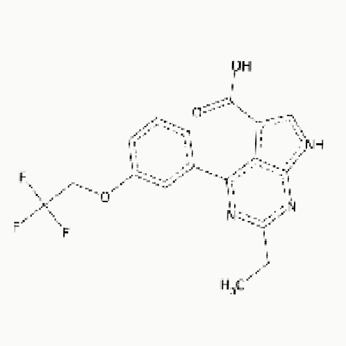 CCc1nc(-c2cccc(OCC(F)(F)F)c2)c2c(C(=O)O)c[nH]c2n1